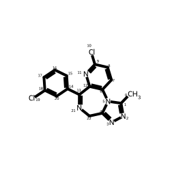 Cc1nnc2n1-c1ccc(Cl)nc1C(c1cccc(Cl)c1)=NC2